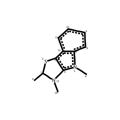 CC1Sc2c(n(C)c3ccccc23)N1C